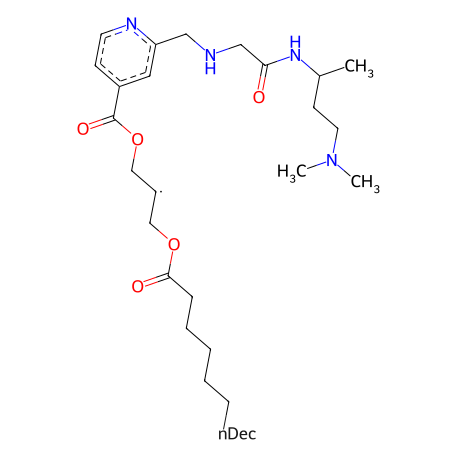 CCCCCCCCCCCCCCCC(=O)OC[CH]COC(=O)c1ccnc(CNCC(=O)NC(C)CCN(C)C)c1